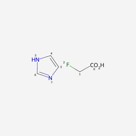 O=C(O)CF.c1c[nH]cn1